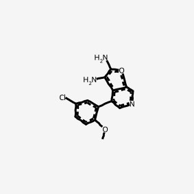 COc1ccc(Cl)cc1-c1cncc2oc(N)c(N)c12